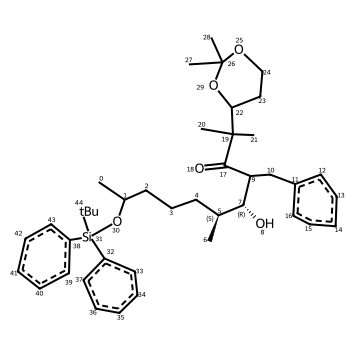 CC(CCC[C@H](C)[C@@H](O)C(Cc1ccccc1)C(=O)C(C)(C)C1CCOC(C)(C)O1)O[Si](c1ccccc1)(c1ccccc1)C(C)(C)C